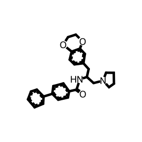 O=C(NC(Cc1ccc2c(c1)OCCO2)CN1CCCC1)c1ccc(-c2ccccc2)cc1